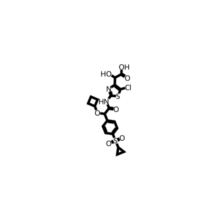 O=C(O)C(O)c1nc(NC(=O)C(OC2CCC2)c2ccc(S(=O)(=O)C3CC3)cc2)sc1Cl